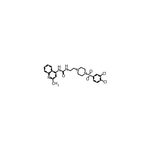 Cc1cc(NC(=O)NCCN2CCN(S(=O)(=O)c3ccc(Cl)c(Cl)c3)CC2)c2ccccc2n1